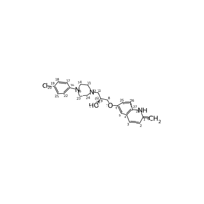 C=C1C=Cc2cc(OC[C@@H](O)CN3CCN(c4ccc(Cl)cc4)CC3)ccc2N1